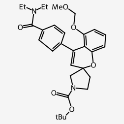 CCN(CC)C(=O)c1ccc(C2=CC3(CCN(C(=O)OC(C)(C)C)C3)Oc3cccc(OCOC)c32)cc1